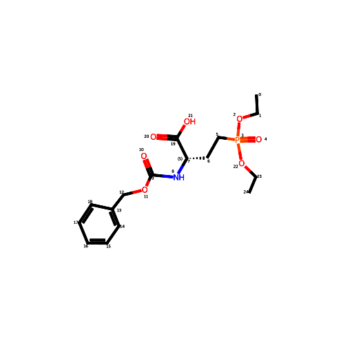 CCOP(=O)(CC[C@H](NC(=O)OCc1ccccc1)C(=O)O)OCC